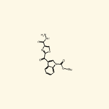 CC(C)(C)OC(=O)n1cc(C(=O)c2nc(C(=O)NN)cs2)c2ccccc21